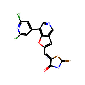 O=C1NC(=S)S/C1=C\c1cc2cncc(-c3cc(Cl)nc(Cl)c3)c2o1